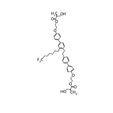 C=C(CO)C(=O)OCCOc1ccc(-c2ccc(CCc3ccc(-c4ccc(OCCOC(=O)C(=C)CO)cc4)cc3CCCCCCC(F)(F)F)cc2)cc1